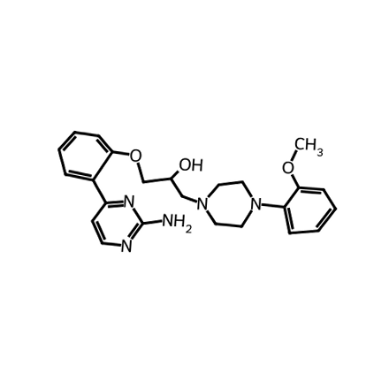 COc1ccccc1N1CCN(CC(O)COc2ccccc2-c2ccnc(N)n2)CC1